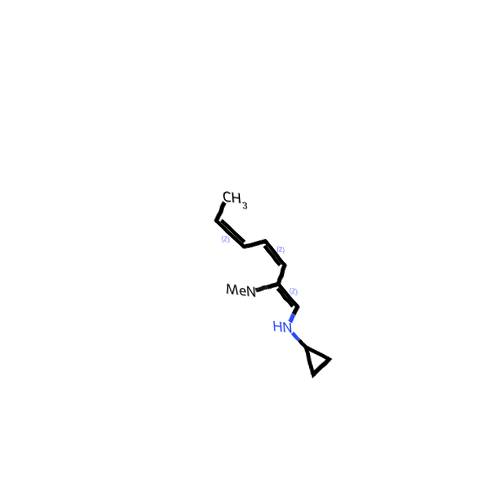 C\C=C/C=C\C(=C\NC1CC1)NC